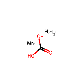 O=C(O)O.[Mn].[PbH2]